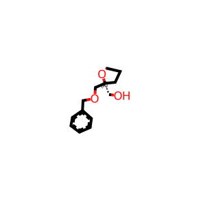 OC[C@@]1(COCc2ccccc2)CCCO1